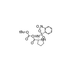 CC(C)(C)OC(=O)OC(=O)[C@]1(NS(=O)(=O)c2ccccc2[N+](=O)[O-])CCCN1